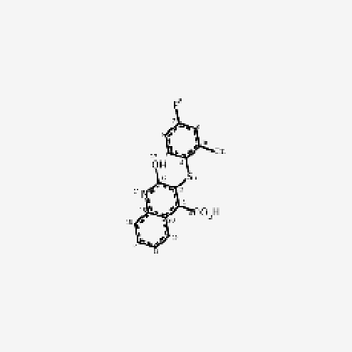 O=C(O)c1c(Sc2ccc(F)cc2F)c(O)nc2ccccc12